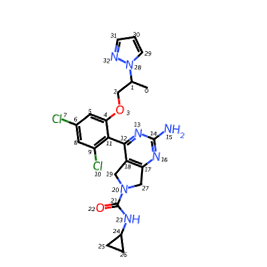 CC(COc1cc(Cl)cc(Cl)c1-c1nc(N)nc2c1CN(C(=O)NC1CC1)C2)n1cccn1